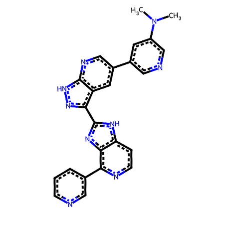 CN(C)c1cncc(-c2cnc3[nH]nc(-c4nc5c(-c6cccnc6)nccc5[nH]4)c3c2)c1